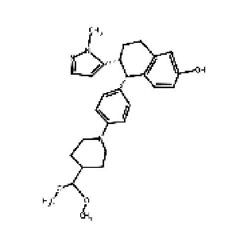 COC(OC)C1CCN(c2ccc([C@H]3c4ccc(O)cc4CC[C@H]3c3ccnn3C)cc2)CC1